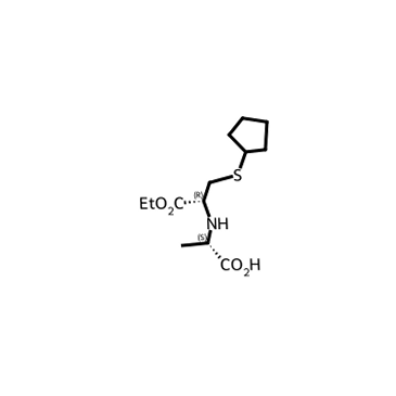 CCOC(=O)[C@H](CSC1CCCC1)N[C@@H](C)C(=O)O